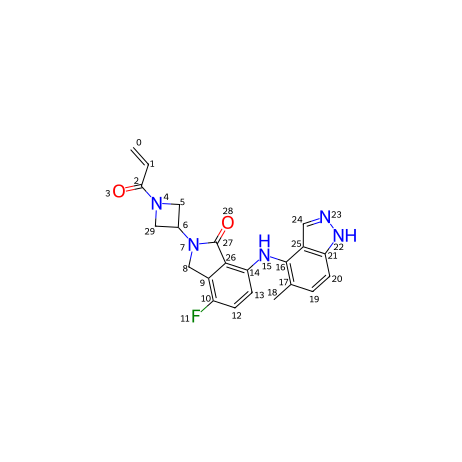 C=CC(=O)N1CC(N2Cc3c(F)ccc(Nc4c(C)ccc5[nH]ncc45)c3C2=O)C1